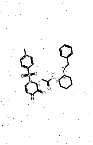 Cc1ccc(S(=O)(=O)N2C=CNC(=O)[C@H]2CC(=O)N[C@H]2CCCC[C@@H]2OCc2ccccc2)cc1